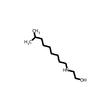 CC(C)CCCCCCCNCCO